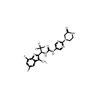 Cc1c(C(NC(=O)Nc2cnc(N3CCNC(=O)C3)nc2)C(F)(F)F)oc2c(F)cc(F)cc12